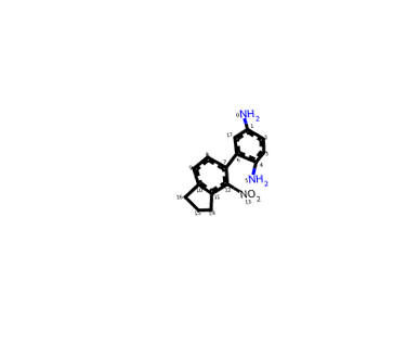 Nc1ccc(N)c(-c2ccc3c(c2[N+](=O)[O-])CCC3)c1